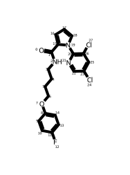 O=C(NCCCCOc1ccc(F)cc1)c1cccn1-c1ncc(Cl)cc1Cl